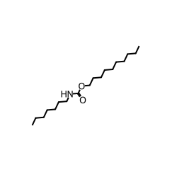 CCCCCCCCCCOC(=O)NCCCCCCC